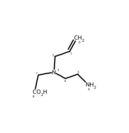 C=CCN(CCN)CC(=O)O